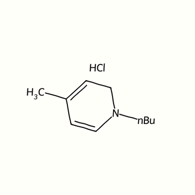 CCCCN1C=CC(C)=CC1.Cl